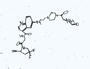 CN(CCCN1CCN(C(=O)CNC=O)CC1)c1ccc2nccc(C(=O)NCC(=O)N3CC(F)(F)CC3C#N)c2c1